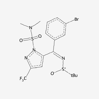 CN(C)S(=O)(=O)n1nc(C(F)(F)F)cc1C(=N[S+]([O-])C(C)(C)C)c1cccc(Br)c1